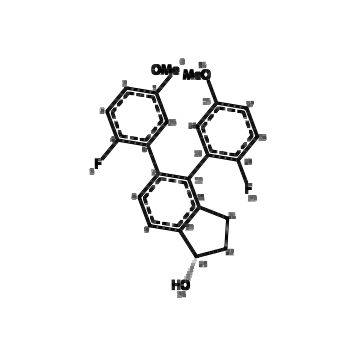 COc1ccc(F)c(-c2ccc3c(c2-c2cc(OC)ccc2F)CC[C@@H]3O)c1